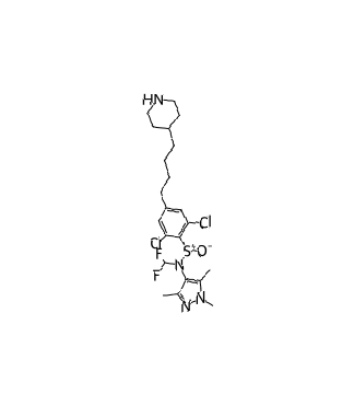 Cc1nn(C)c(C)c1N(C(F)F)[S+]([O-])c1c(Cl)cc(CCCCC2CCNCC2)cc1Cl